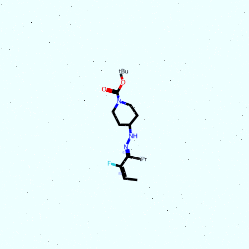 C/C=C(F)\C(=N\NC1CCN(C(=O)OC(C)(C)C)CC1)C(C)C